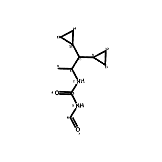 CC(NC(=O)NC=O)C(C1CC1)C1CC1